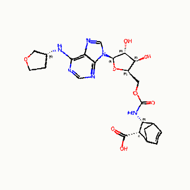 O=C(N[C@@H]1C2C=CC(C2)[C@@H]1C(=O)O)OC[C@H]1O[C@@H](n2cnc3c(N[C@@H]4CCOC4)ncnc32)[C@H](O)[C@H]1O